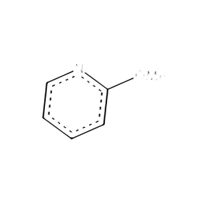 COc1c[c]ccn1